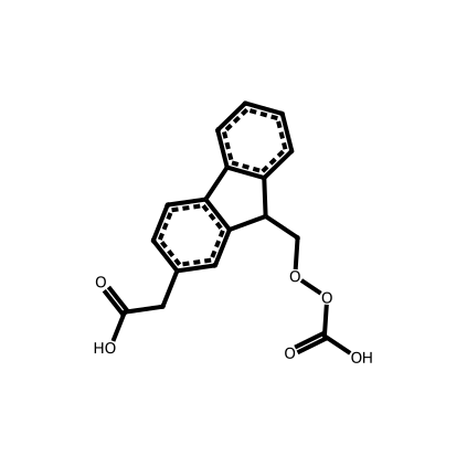 O=C(O)Cc1ccc2c(c1)C(COOC(=O)O)c1ccccc1-2